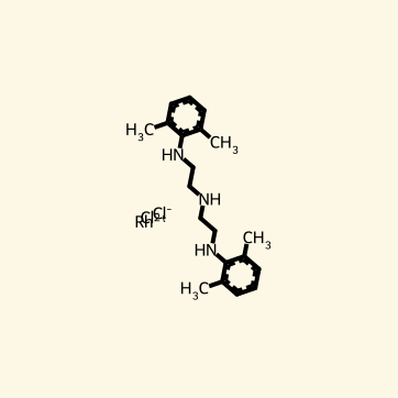 Cc1cccc(C)c1NCCNCCNc1c(C)cccc1C.[Cl-].[Cl-].[Rh+2]